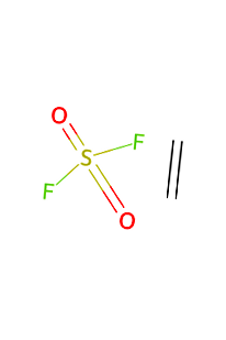 C=C.O=S(=O)(F)F